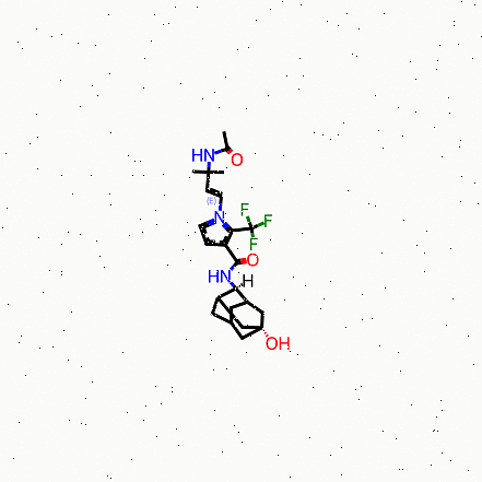 CC(=O)NC(C)(C)/C=C/n1ccc(C(=O)N[C@H]2C3CC4CC2C[C@](O)(C4)C3)c1C(F)(F)F